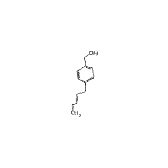 C=CC=CCc1ccc(CO)cc1